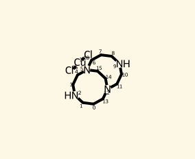 C1CNCCN2CCCNCCN(C1)CC2.[Cl][Cu][Cl]